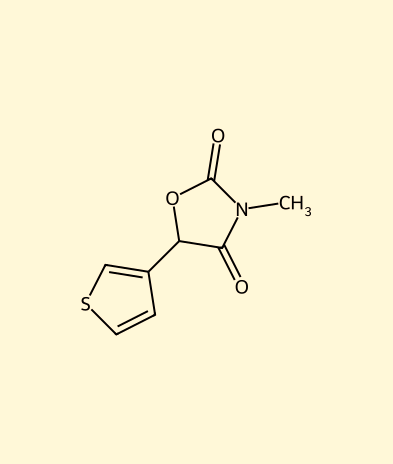 CN1C(=O)OC(c2ccsc2)C1=O